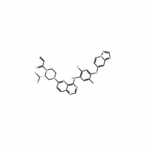 C=CC(=O)N1CCN(c2ccc3ncnc(Nc4cc(C)c(Oc5ccn6ncnc6c5)cc4F)c3n2)C[C@@H]1C(F)F